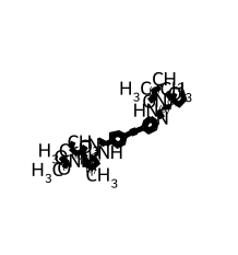 COC(=O)N[C@H](C(=O)N1C[C@@H](C)C[C@H]1c1ncc(-c2ccc(C#Cc3ccc4nc([C@@H]5C[C@@]6(CCCO6)CN5C(=O)[C@@H](C)C(C)C)[nH]c4c3)cc2)[nH]1)C(C)C